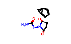 NC(=O)NN1C(=O)CCC1=O.c1cc2cc-2c1